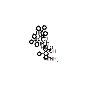 NCc1ncccc1SC1=C(C(=O)O)N2C(=O)[C@@H](NC(=O)C(=NOC(c3ccccc3)(c3ccccc3)c3ccccc3)c3nc(NC(c4ccccc4)(c4ccccc4)c4ccccc4)sc3Cl)[C@H]2CC1C(c1ccccc1)c1ccccc1